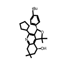 CC1(C)Cc2nc(C3CCCC3)c3c(c2[C@@H](O)C1)C(C)(C)O[C@@H]3c1ccc(C(C)(C)C)cc1